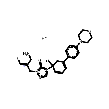 Cl.NC/C(=C\F)Cn1ncn(C2(Cl)C=CC=C(c3ccc(N4CCOCC4)cc3)C2)c1=O